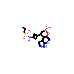 CCCS(=O)(=O)NC12CC(C3=CB(O)Oc4cnc5[nH]ccc5c43)(C1)C2